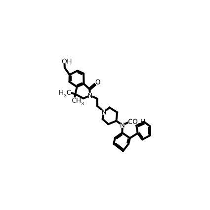 CC1(C)CN(CCN2CCC(N(C(=O)O)c3ccccc3-c3ccccc3)CC2)C(=O)c2ccc(CO)cc21